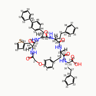 O=C1COc2ccc(cc2)C[C@@H](C(=O)N[C@@H](CCc2ccccc2)C(=O)O)NC(=O)[C@@H](CCc2ccccc2)NC(=O)[C@H](Cc2ccc(-c3ccccc3)cc2)NC(=O)[C@@H](Cc2cccs2)N1